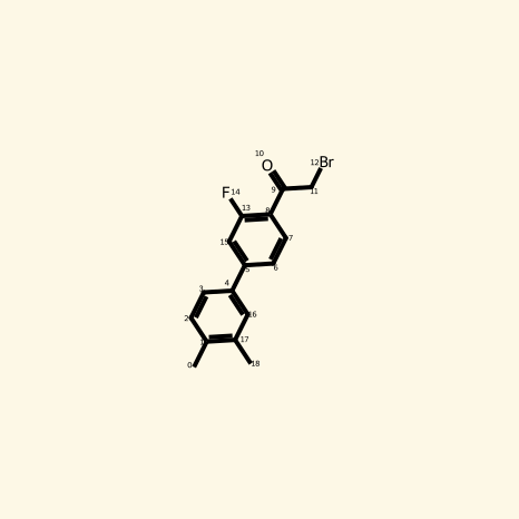 Cc1ccc(-c2ccc(C(=O)CBr)c(F)c2)cc1C